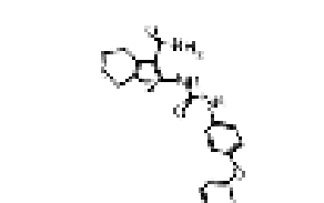 NC(=O)c1c(NC(=O)Nc2ccc(Oc3ccccc3)cc2)sc2c1CCSC2